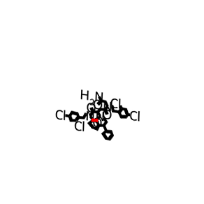 NC(=O)CN(CCc1ccc(Cl)cc1Cl)C(=O)CC1C(=O)N(CCc2ccc(Cl)cc2Cl)CC(=O)N1CCC(c1ccccc1)c1ccccc1